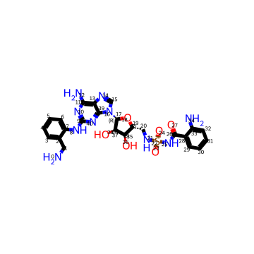 NCc1ccccc1Nc1nc(N)c2ncn([C@@H]3O[C@H](CNS(=O)(=O)NC(=O)c4ccccc4N)[C@@H](O)[C@H]3O)c2n1